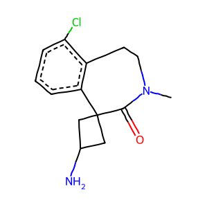 CN1CCc2c(Cl)cccc2C2(CC(N)C2)C1=O